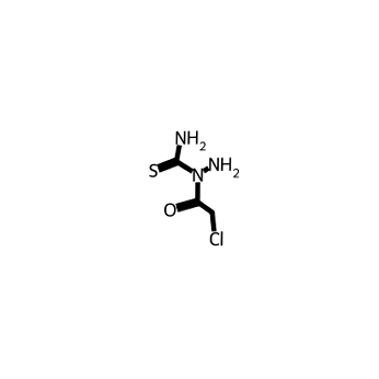 NC(=S)N(N)C(=O)CCl